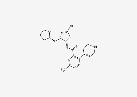 CC(C)(C)c1cn(C[C@H]2CCCO2)c(=NC(=O)c2cc(C(F)(F)F)ccc2C2=CCNCC2)s1